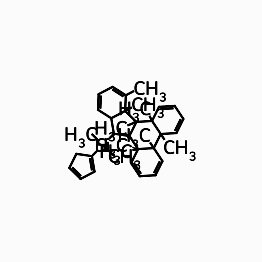 CC1=CC=CC2C([Si](C)(C)C3=CC=CC3)C3(C)C4(C)C=CC=CC4(C)C4(C)C=CC=CC4(C)C3(C)C12C